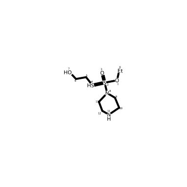 CCOS(=O)(=[SH]CCO)N1CCNCC1